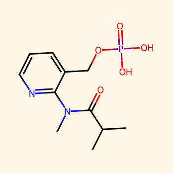 CC(C)C(=O)N(C)c1ncccc1COP(=O)(O)O